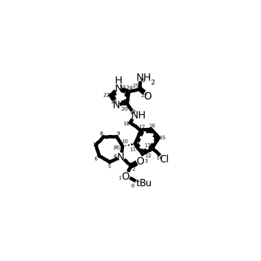 CC(C)(C)OC(=O)N1CCCCC[C@@H]1c1cc(Cl)ccc1CNc1nc[nH]c1C(N)=O